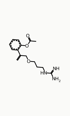 C=C(COCCCNC(=N)N)c1ccccc1OC(C)=O